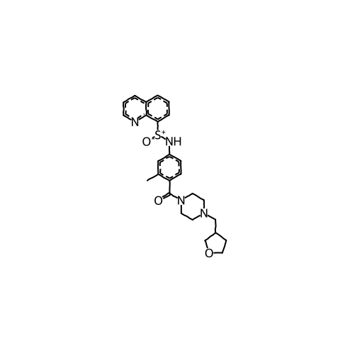 Cc1cc(N[S+]([O-])c2cccc3cccnc23)ccc1C(=O)N1CCN(CC2CCOC2)CC1